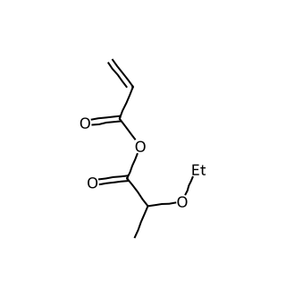 C=CC(=O)OC(=O)C(C)OCC